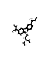 CCC(=O)c1ccc2c(c1)c1cc(C(=O)CC)ccc1n2CCN(CC)CC